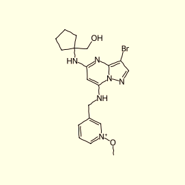 CO[n+]1cccc(CNc2cc(NC3(CO)CCCC3)nc3c(Br)cnn23)c1